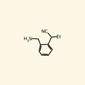 CCC(C#N)c1ccccc1C[SiH3]